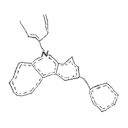 C=C/C(=C\C)n1c2ccccc2c2cc(-c3ccccc3)ccc21